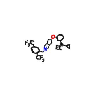 CC[C@H](c1cccc(OC2CC3CN(Cc4cc(C(F)(F)F)ccc4C(F)(F)F)CC3C2)c1)C1CC1